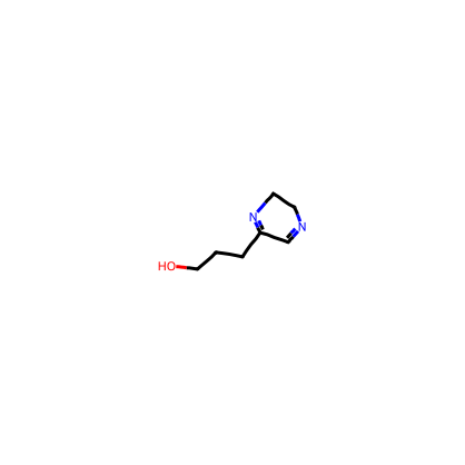 OCCCC1=NCCN=C1